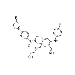 N=CC1=C(Nc2ccc(F)cc2)C=C2CCN([S+]([O-])c3ccc(N4CC[C@@H](F)C4)nc3)C[C@@]2(COCCO)C1